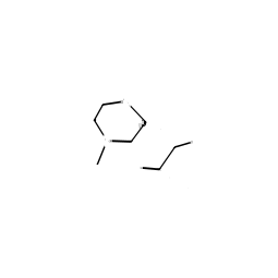 CN1CCNCC1.O.O=C(O)[C@H](O)[C@@H](O)C(=O)O